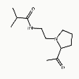 CC(=O)C1CCCN1CCNC(=O)C(C)C